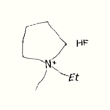 CC[N+]1(C)CCCC1.F